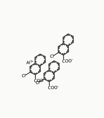 O=C([O-])c1cc2ccccc2cc1Cl.O=C([O-])c1cc2ccccc2cc1Cl.O=C([O-])c1cc2ccccc2cc1Cl.[Al+3]